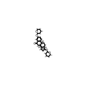 C[C@]12CC[C@@H]3c4ccc(OC5CCCCO5)cc4C(=O)C[C@H]3[C@@H]1CCC2OC1CCCCO1